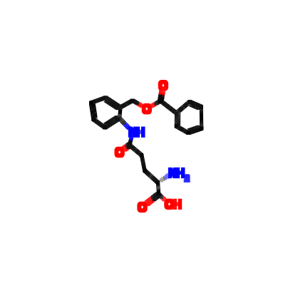 N[C@@H](CCC(=O)Nc1ccccc1COC(=O)c1ccccc1)C(=O)O